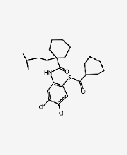 CC(C)CCC1(C(=O)Nc2cc(Cl)c(Cl)cc2SC(=O)C2CCCCC2)CCCCC1